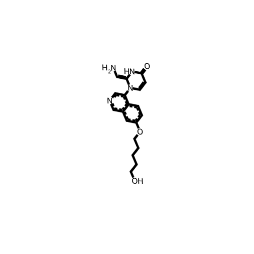 N/C=C1\NC(=O)C=CN1c1cncc2cc(OCCCCCO)ccc12